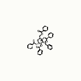 O=C(OCC1O[C@@H](OC(=O)c2ccccc2)C(OC(=O)c2ccccc2)C(OCc2ccccc2)[C@@H]1OC(=O)c1ccccc1)c1ccccc1